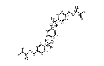 C=C(C)C(=O)OCc1ccc(C(F)(F)Oc2ccc(OC(F)(F)c3ccc(COC(=O)C(=C)C)cc3)cc2)cc1